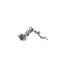 NCCCC(=O)NCC#Cc1cn([C@H]2CC[C@@H](COP(=O)(O)OP(=O)(O)OP(=O)(O)O)O2)c(=O)[nH]c1=O